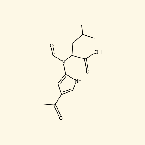 CC(=O)c1c[nH]c(N(C=O)C(CC(C)C)C(=O)O)c1